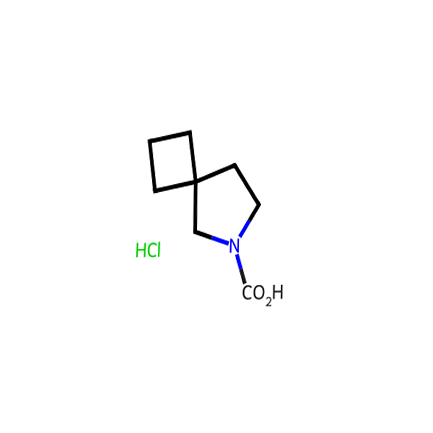 Cl.O=C(O)N1CCC2(CCC2)C1